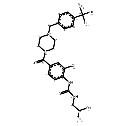 C[C@H](O)CNC(=O)Nc1ccc(C(=O)N2CCN(Cc3ccc(C(O)(C(F)(F)F)C(F)(F)F)cc3)CC2)cc1Cl